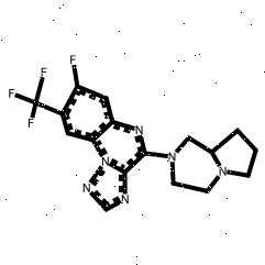 Fc1cc2nc(N3CCN4CCCC4C3)c3ncnn3c2cc1C(F)(F)F